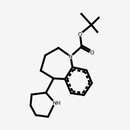 CC(C)(C)OC(=O)N1CCCC(C2CCCCN2)c2ccccc21